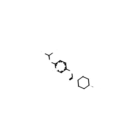 CCCC[C@H]1CC[C@H](C(=O)Oc2ccc(OC(F)F)nc2)CC1